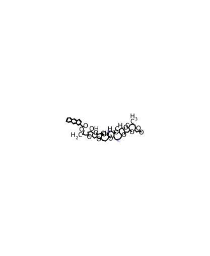 C=C(COC(=O)c1ccc2cc3ccccc3cc2c1)CC1CC(O)C2OC3CC4(C)OC5/C=C\CC6OC7C(C)CC8OC9(C)CC(C)CC%10OC(=O)CC%10OC9CC8OC7C/C=C\CC6OC5CCCC4OC3CC2O1